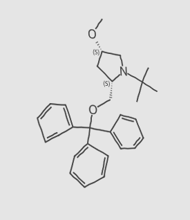 CO[C@H]1C[C@@H](COC(c2ccccc2)(c2ccccc2)c2ccccc2)N(C(C)(C)C)C1